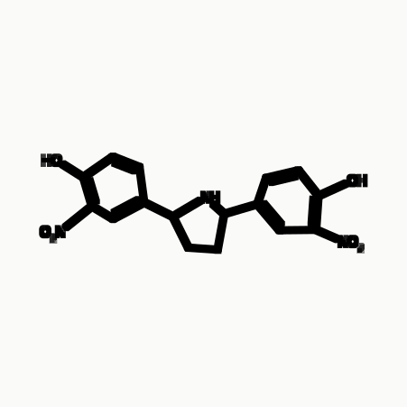 O=[N+]([O-])c1cc(C2CCC(c3ccc(O)c([N+](=O)[O-])c3)N2)ccc1O